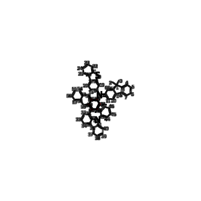 CC1(C)c2ccccc2-c2ccc(N(c3ccc4c(c3)sc3ccccc34)c3ccc(-c4cccc5c6ccccc6n(-c6ccccc6)c45)c4c3C3c5ccccc5C4c4ccccc43)cc21